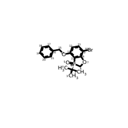 CC(C)(C)[P@@]1(=O)COc2c(Br)ccc(OCc3ccccc3)c21